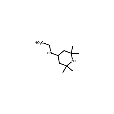 CC1(C)CC(NCC(=O)O)CC(C)(C)N1